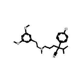 COc1cc(CCN(C)CCCC(C#N)(c2ccc(Cl)cc2)C(C)C)cc(OC)c1